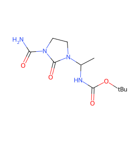 CC(NC(=O)OC(C)(C)C)N1CCN(C(N)=O)C1=O